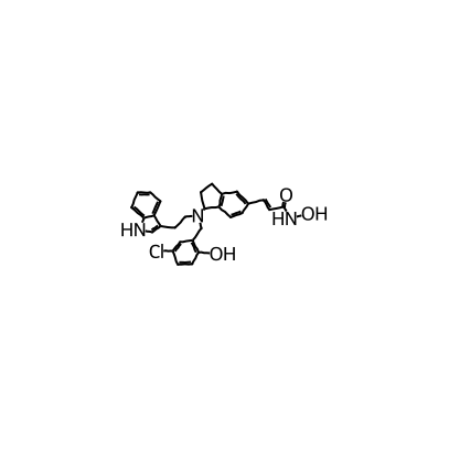 O=C(C=Cc1ccc2c(c1)CCC2N(CCc1c[nH]c2ccccc12)Cc1cc(Cl)ccc1O)NO